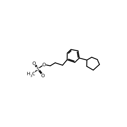 CS(=O)(=O)OCCCc1cccc(C2CCCCC2)c1